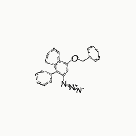 [N-]=[N+]=Nc1cc(OCc2ccccc2)c2ccccc2c1-c1ccccc1